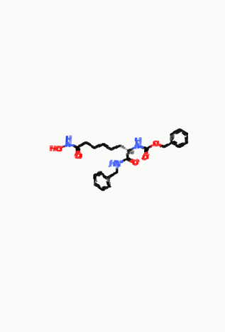 O=C(CCCCC[C@H](NC(=O)OCc1ccccc1)C(=O)NCc1ccccc1)NO